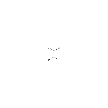 II(I)I(I)I